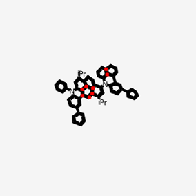 CC(C)c1cc(N(c2ccccc2)c2ccc(-c3ccccc3)cc2-c2ccccc2)c2ccc3c(C(C)C)cc(N(c4ccccc4)c4ccc(-c5ccccc5)cc4-c4ccccc4)c4ccc1c2c34